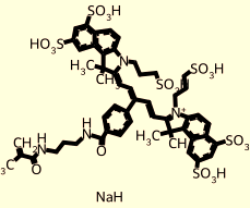 C=C(C)C(=O)NCCCNC(=O)c1ccc(C(=C\C=C2/N(CCCS(=O)(=O)O)c3ccc4c(S(=O)(=O)O)cc(S(=O)(=O)O)cc4c3C2(C)C)/C=C/C2=[N+](CCCS(=O)(=O)O)c3ccc4c(S(=O)(=O)O)cc(S(=O)(=O)O)cc4c3C2(C)C)cc1.[NaH]